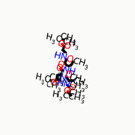 CCCC(NC(=O)[C@@H]1CC(OC(C)(C)C)CN1C(=O)[C@@H](NC(=O)OC(C)(C)C)C(C)(C)C)C(=O)C(=O)NCCC(=O)OC(C)(C)C